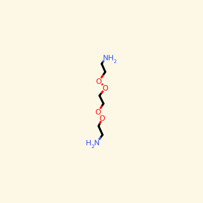 NCCOOCCOOCCN